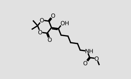 COC(=O)NCCCCCC(O)=C1C(=O)OC(C)(C)OC1=O